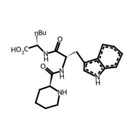 CCCC[C@H](NC(=O)[C@H](Cc1c[nH]c2ccccc12)NC(=O)[C@@H]1CCCCN1)C(=O)O